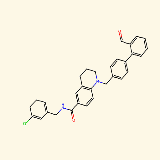 O=Cc1ccccc1-c1ccc(CN2CCCc3cc(C(=O)NCC4=CCCC(Cl)=C4)ccc32)cc1